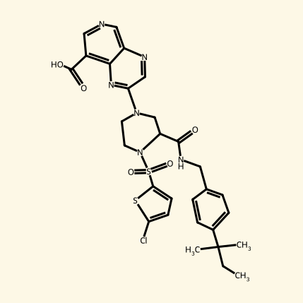 CCC(C)(C)c1ccc(CNC(=O)C2CN(c3cnc4cncc(C(=O)O)c4n3)CCN2S(=O)(=O)c2ccc(Cl)s2)cc1